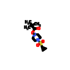 CC(C)(C)C(=O)ON1CCN(S(=O)(=O)C2CC2)CC1